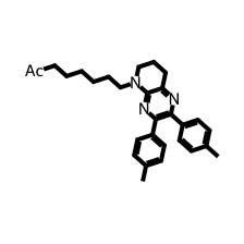 CC(=O)CCCCCCN1CCCc2nc(-c3ccc(C)cc3)c(-c3ccc(C)cc3)nc21